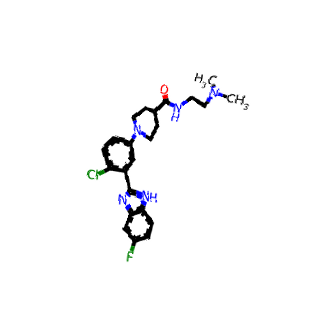 CN(C)CCNC(=O)C1CCN(c2ccc(Cl)c(-c3nc4cc(F)ccc4[nH]3)c2)CC1